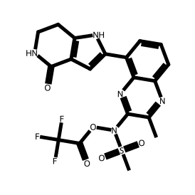 Cc1nc2cccc(-c3cc4c([nH]3)CCNC4=O)c2nc1N(OC(=O)C(F)(F)F)S(C)(=O)=O